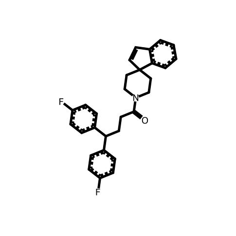 O=C(CCC(c1ccc(F)cc1)c1ccc(F)cc1)N1CCC2(C=Cc3ccccc32)CC1